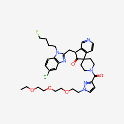 CCOCCOCCOCCn1ccc(C(=O)N2CCC3(CC2)C(=O)C(Cc2nc4cc(Cl)ccc4n2CCCCF)c2cnccc23)n1